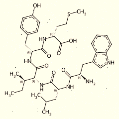 CC[C@@H](C)[C@@H](NC(=O)[C@@H](CC(C)C)NC(=O)[C@H](N)Cc1c[nH]c2ccccc12)C(=O)N[C@H](Cc1ccc(O)cc1)C(=O)N[C@H](CCSC)C(=O)O